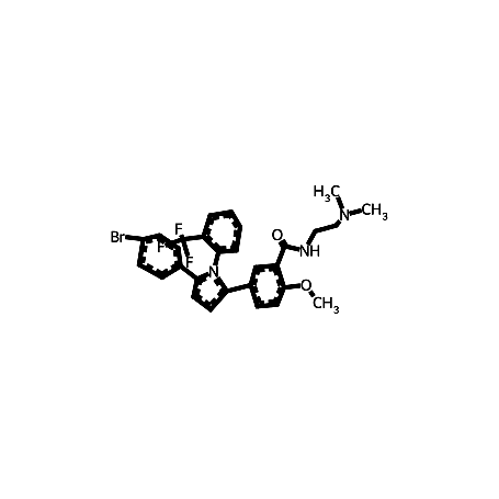 COc1ccc(-c2ccc(-c3ccc(Br)cc3)n2-c2ccccc2C(F)(F)F)cc1C(=O)NCCN(C)C